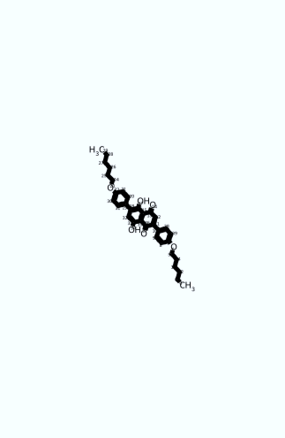 CCCCCCOc1ccc(C2=CC(=O)c3c(O)c(-c4ccc(OCCCCCC)cc4)cc(O)c3C2=O)cc1